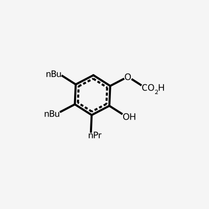 CCCCc1cc(OC(=O)O)c(O)c(CCC)c1CCCC